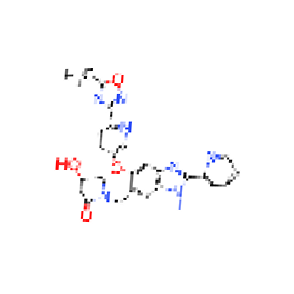 Cc1nc(-c2ccc(Oc3cc4nc(-c5ccccn5)[nH]c4cc3CN3CC(O)CC3=O)cn2)no1